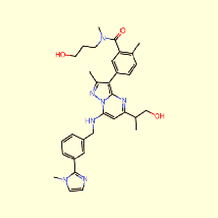 Cc1ccc(-c2c(C)nn3c(NCc4cccc(-c5nccn5C)c4)cc(C(C)CO)nc23)cc1C(=O)N(C)CCCO